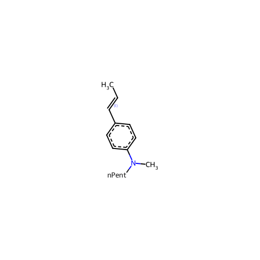 C/C=C/c1ccc(N(C)CCCCC)cc1